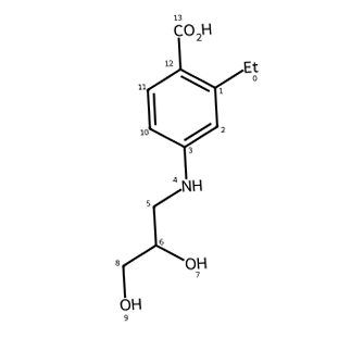 CCc1cc(NCC(O)CO)ccc1C(=O)O